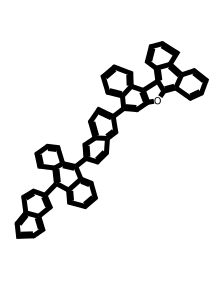 c1ccc2cc(-c3c4ccccc4c(-c4ccc5cc(-c6cc7oc8c9ccccc9c9ccccc9c8c7c7ccccc67)ccc5c4)c4ccccc34)ccc2c1